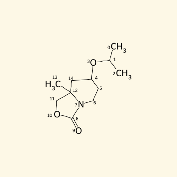 CC(C)OC1CCN2C(=O)OCC2(C)C1